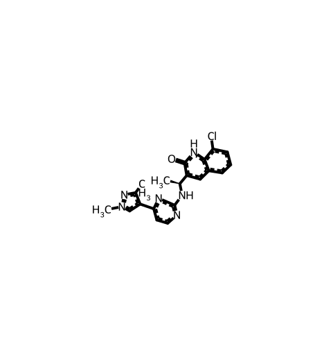 Cc1nn(C)cc1-c1ccnc(N[C@@H](C)c2cc3cccc(Cl)c3[nH]c2=O)n1